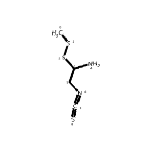 CSSC(N)CN=C=S